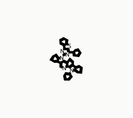 c1ccc(-c2nc(-n3c4ccccc4c4cnc5c(ccc6c7ccccc7n(-c7ccccc7)c65)c43)nc3c2sc2ccccc23)cc1